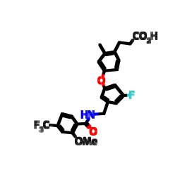 COc1cc(C(F)(F)F)ccc1C(=O)NCc1cc(F)cc(Oc2ccc(CCC(=O)O)c(C)c2)c1